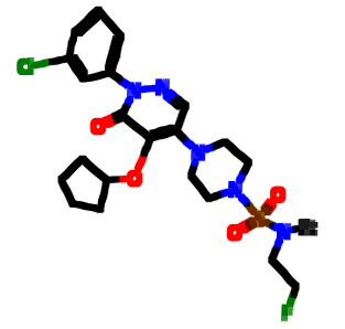 CCN(CCF)S(=O)(=O)N1CCN(c2cnn(-c3cccc(Cl)c3)c(=O)c2OC2CCCC2)CC1